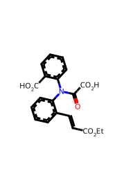 CCOC(=O)/C=C/c1ccccc1N(C(=O)C(=O)O)c1ccccc1C(=O)O